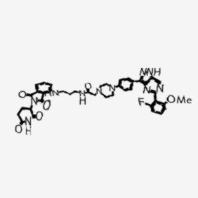 COc1cccc(F)c1-c1ncc2[nH]nc(-c3ccc(N4CCN(CC(=O)NCCCNc5cccc6c5C(=O)N(C5CCC(=O)NC5=O)C6=O)CC4)cc3)c2n1